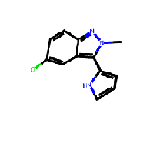 Cn1nc2ccc(Cl)cc2c1-c1ccc[nH]1